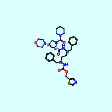 O=C(N[C@H](CC[C@H](Cc1ccccc1)NC(=O)[C@@H]1C[C@H](N2CCOCC2)CN1C(=O)N1CCCCC1)Cc1ccccc1)OCc1cncs1